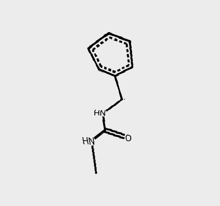 CNC(=O)N[CH]c1ccccc1